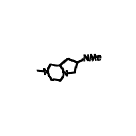 CNC1CC2CN(C)CCN2C1